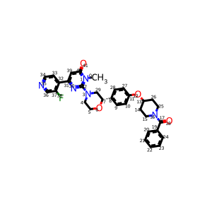 Cn1c(N2CCO[C@@H](c3ccc(OC4CCN(C(=O)c5ccccc5)CC4)cc3)C2)nc(-c2ccncc2F)cc1=O